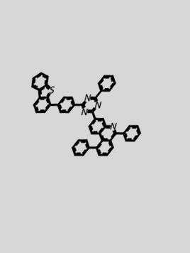 c1ccc(-c2nc(-c3ccc(-c4cccc5c4sc4ccccc45)cc3)nc(-c3ccc4c(c3)nc(-c3ccccc3)c3cccc(-c5ccccc5)c34)n2)cc1